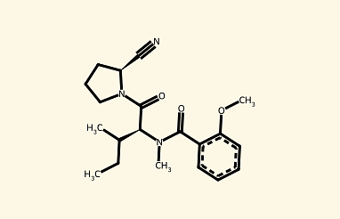 CCC(C)[C@@H](C(=O)N1CCC[C@H]1C#N)N(C)C(=O)c1ccccc1OC